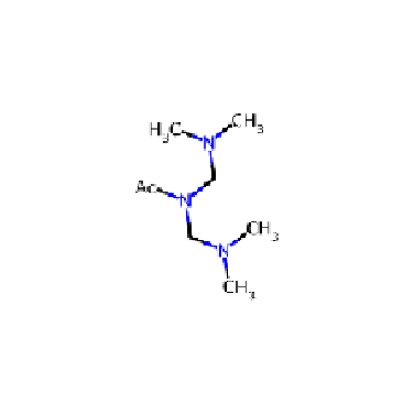 CC(=O)N(CN(C)C)CN(C)C